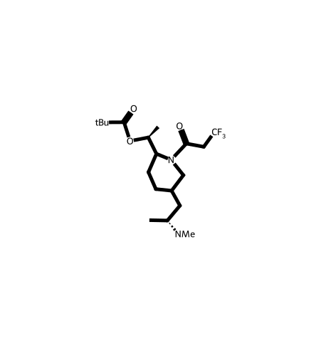 CN[C@H](C)CC1CCC([C@H](C)OC(=O)C(C)(C)C)N(C(=O)CC(F)(F)F)C1